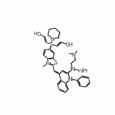 CCCN(CCN(C)C)C1=C/C(=C\c2sc3cc(S(C=CO)(C=CO)N4CCCCC4)ccc3[n+]2C)c2ccccc2N1c1ccccc1